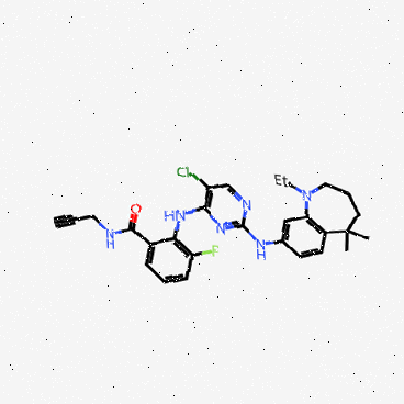 C#CCNC(=O)c1cccc(F)c1Nc1nc(Nc2ccc3c(c2)N(CC)CCCC3(C)C)ncc1Cl